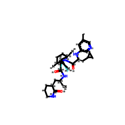 Cc1cncc(N[C@H](CC2CC2)C(=O)N2[C@H]3CC[C@@H]([C@H]2C(=O)N[C@@H](C#N)C[C@@H]2CCCNC2=O)C(F)(F)C3)c1